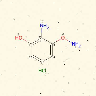 Cl.NOc1cccc(O)c1N